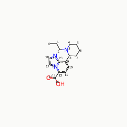 CCCN1CCCCC1c1ccc(C(=O)O)n2ccnc12